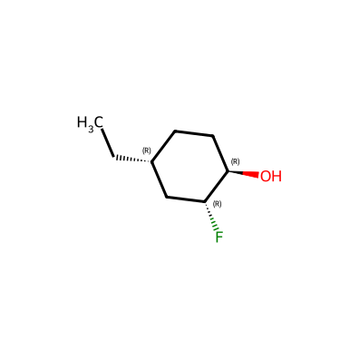 CC[C@@H]1CC[C@@H](O)[C@H](F)C1